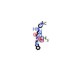 CC(=O)N1CCC(Nc2cc(C(=O)NC[C@@H](CN3Cc4ccccc4C3)NS(C)(=O)=O)ncn2)CC1